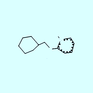 C[n+]1ccccc1SCC1CCCCC1.[Br-]